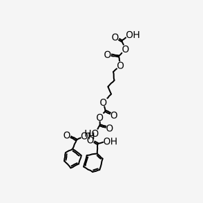 O=C(O)OC(=O)OCCCCOC(=O)OC(=O)O.O=C(O)c1ccccc1.O=C(O)c1ccccc1